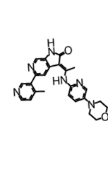 CC(Nc1ccc(N2CCOCC2)cn1)=C1C(=O)Nc2cnc(-c3cnccc3C)cc21